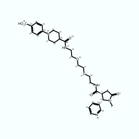 CN1C(=O)C[C@H](C(=O)NCCOCCOCCNC(=O)C2CCN(c3ccc(C(=O)O)cc3)CC2)[C@H]1c1cccnc1